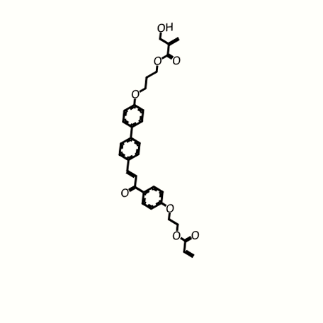 C=CC(=O)OCCOc1ccc(C(=O)/C=C/c2ccc(-c3ccc(OCCCOC(=O)C(=C)CO)cc3)cc2)cc1